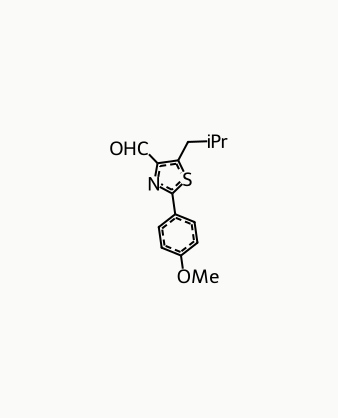 COc1ccc(-c2nc(C=O)c(CC(C)C)s2)cc1